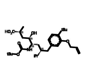 C=CCOc1cc(C[C@@H](C[C@H](NC(=O)OC(C)(C)C)[C@@H](O)C[C@@H](C)C(=O)O)C(C)C)ccc1C(C)(C)C